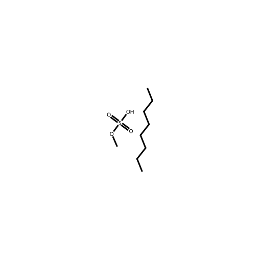 CCCCCCCC.COS(=O)(=O)O